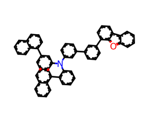 c1cc(-c2cccc(N(c3cccc(-c4cccc5ccccc45)c3)c3ccccc3-c3cccc4ccccc34)c2)cc(-c2cccc3c2oc2ccccc23)c1